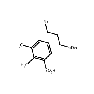 CCCCCCCCCCCC[CH2][Na].Cc1cccc(S(=O)(=O)O)c1C